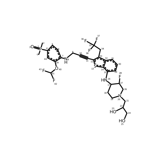 CP(C)(=O)c1ccc(NCC#Cc2sc3c(NC4CCN(CC(O)CO)CC4F)cccc3c2CC(F)(F)F)c(OC(F)F)c1